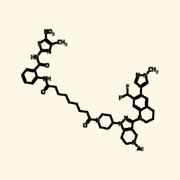 CC(=O)N1CCc2c(c(N3CCCc4cc(-c5cnn(C)c5)c(C(F)F)cc43)nn2C2CCN(C(=O)CCCCCCCC(=O)Nc3ccccc3C(=O)Nc3nc(C)c([N+](=O)[O-])s3)CC2)C1